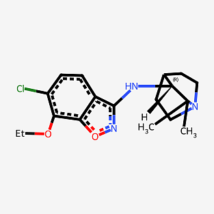 CCOc1c(Cl)ccc2c(N[C@@H]3C4CCN(CC4)C3(C)C)noc12